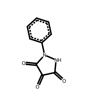 O=C1NN(c2ccccc2)C(=O)C1=O